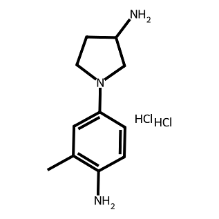 Cc1cc(N2CCC(N)C2)ccc1N.Cl.Cl